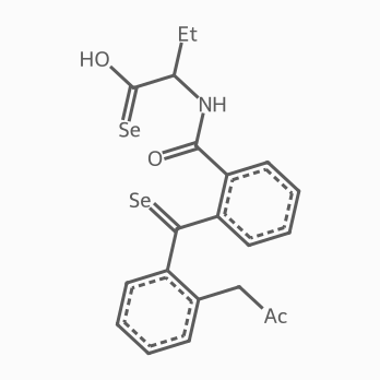 CCC(NC(=O)c1ccccc1C(=[Se])c1ccccc1CC(C)=O)C(O)=[Se]